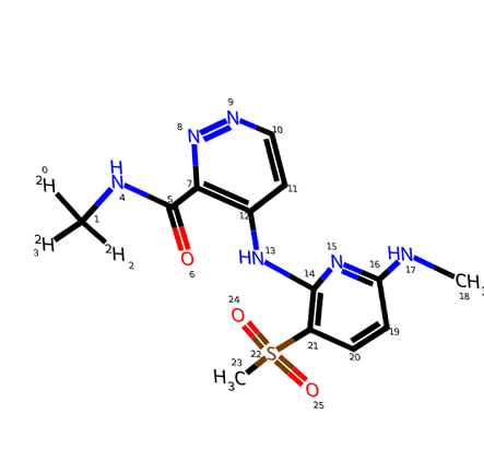 [2H]C([2H])([2H])NC(=O)c1nnccc1Nc1nc(NC)ccc1S(C)(=O)=O